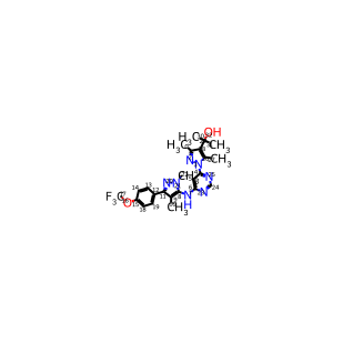 Cc1nn(-c2cc(Nc3c(C)c(-c4ccc(OC(F)(F)F)cc4)nn3C)ncn2)c(C)c1C(C)(C)O